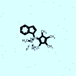 CC1=C(C)C(C)[C]([Zr+2]([CH]2C=Cc3ccccc32)[SiH](C)C)=C1C.[F-].[F-]